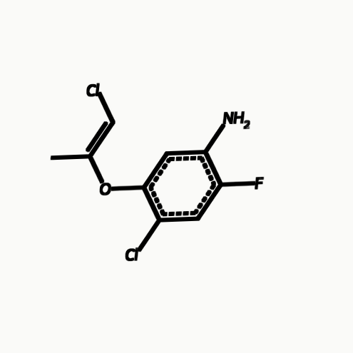 CC(=CCl)Oc1cc(N)c(F)cc1Cl